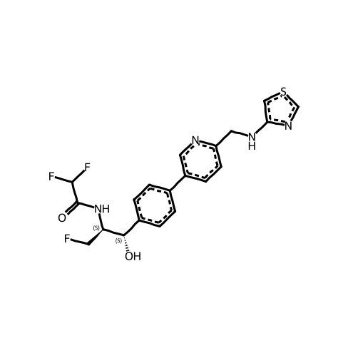 O=C(N[C@H](CF)[C@@H](O)c1ccc(-c2ccc(CNc3cscn3)nc2)cc1)C(F)F